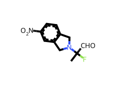 CC(F)(C=O)N1Cc2ccc([N+](=O)[O-])cc2C1